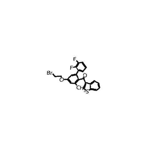 Cc1cc(OCCBr)cc(-c2cccc(F)c2F)c1C(=O)c1csc2ccccc12